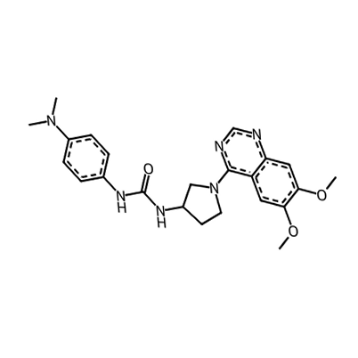 COc1cc2ncnc(N3CCC(NC(=O)Nc4ccc(N(C)C)cc4)C3)c2cc1OC